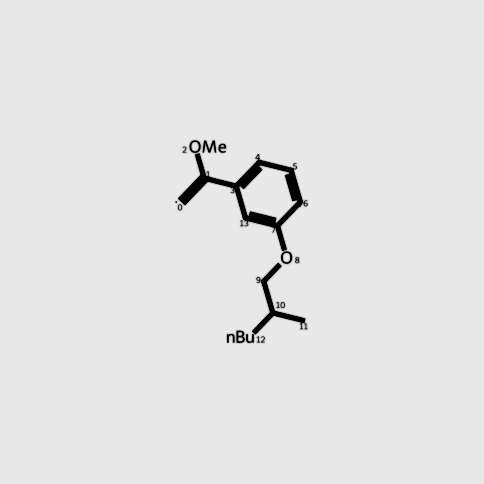 [CH]=C(OC)c1cc[c]c(OCC(C)CCCC)c1